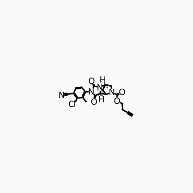 C#CCCOC(=O)N1C[C@H]2CC1[C@H]1C(=O)N(c3ccc(C#N)c(Cl)c3C)C(=O)N21